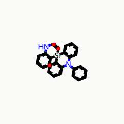 c1ccc(N2c3ccccc3[Si]3(c4ccccc4Nc4ccccc43)c3ccccc32)cc1